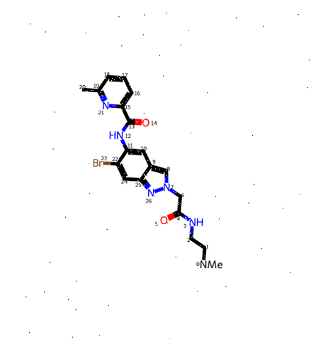 CNCCNC(=O)Cn1cc2cc(NC(=O)c3cccc(C)n3)c(Br)cc2n1